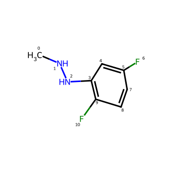 CNNc1cc(F)ccc1F